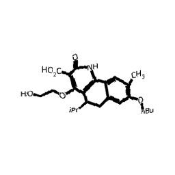 CCCCOc1cc2c(cc1C)-c1[nH]c(=O)c(C(=O)O)c(OCCO)c1C(C(C)C)C2